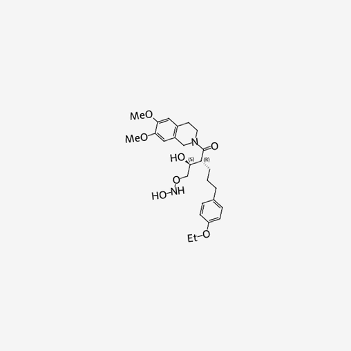 CCOc1ccc(CCC[C@@H](C(=O)N2CCc3cc(OC)c(OC)cc3C2)[C@H](O)CONO)cc1